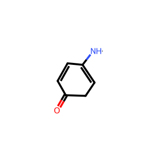 [NH]C1=CCC(=O)C=C1